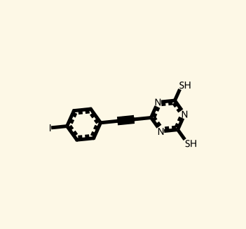 Sc1nc(S)nc(C#Cc2ccc(I)cc2)n1